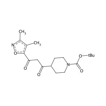 Cc1noc(C(=O)CC(=O)C2CCN(C(=O)OC(C)(C)C)CC2)c1C